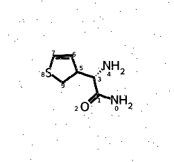 NC(=O)[C@@H](N)C1C=CSC1